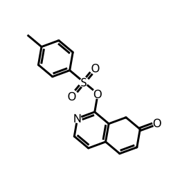 Cc1ccc(S(=O)(=O)Oc2nccc3c2CC(=O)C=C3)cc1